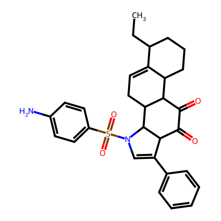 CCC1CCCC2C1=CCC1C2C(=O)C(=O)C2C(c3ccccc3)=CN(S(=O)(=O)c3ccc(N)cc3)C21